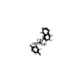 Cc1ccc(C)c(NC(=N)Nc2cccc3ccccc23)c1